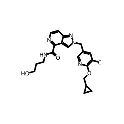 O=C(NCCCO)c1nccc2nn(Cc3cnc(OCC4CC4)c(Cl)c3)cc12